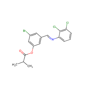 CC(C)C(=O)Oc1cc(Br)cc(C=Nc2cccc(Cl)c2Cl)c1